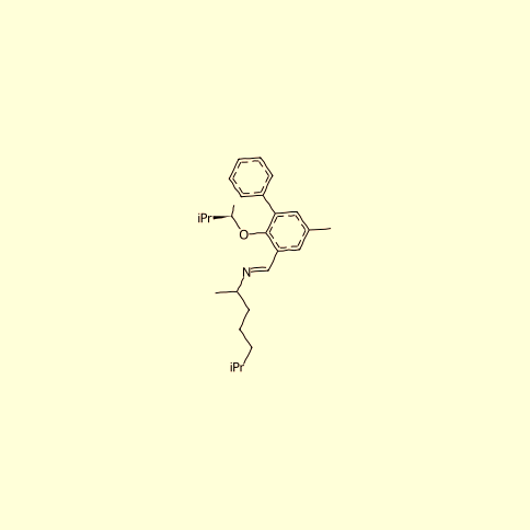 Cc1cc(/C=N/C(C)CCCC(C)C)c(O[C@H](C)C(C)C)c(-c2ccccc2)c1